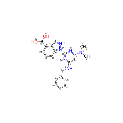 CN(C)c1cc(NCc2ccccc2)nc(-n2ncc3c(B(O)O)cccc32)n1